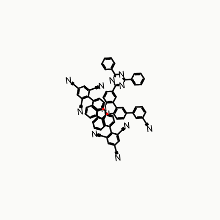 N#Cc1cccc(-c2ccc(-n3c4ccccc4c4cc(-c5c(C#N)cc(C#N)cc5C#N)ccc43)c(-c3cc(-c4nc(-c5ccccc5)nc(-c5ccccc5)n4)ccc3-n3c4ccccc4c4cc(-c5c(C#N)cc(C#N)cc5C#N)ccc43)c2)c1